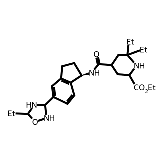 CCOC(=O)C1CC(C(=O)N[C@@H]2CCc3cc(C4NOC(CC)N4)ccc32)CC(CC)(CC)N1